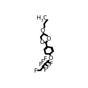 CCCCOC1COC(C2=CCC(OC(F)(F)C(F)(F)C(F)(F)CF)C=C2)OC1